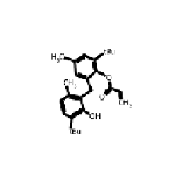 C=CC(=O)Oc1c(Cc2c(C)ccc(C(C)(C)C)c2O)cc(C)cc1C(C)(C)C